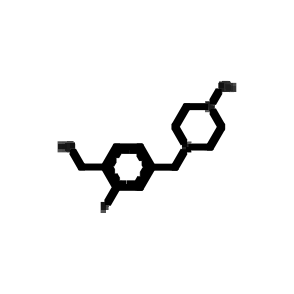 CC(C)(C)N1CCN(Cc2ccc(CO)c(F)c2)CC1